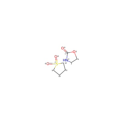 O=C1NCCO1.O=S1(=O)CCCC1